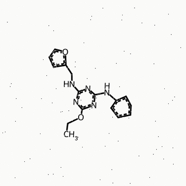 CCOc1nc(NCc2ccco2)nc(Nc2ccccc2)n1